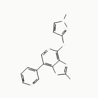 Cc1nc2c(Nc3ccn(C)n3)ncc(-c3cccnc3)c2s1